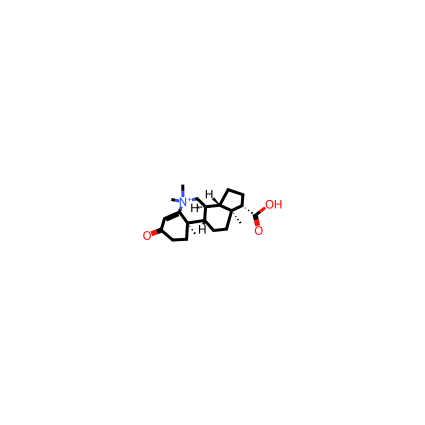 C[C@]12CC[C@H]3[C@@H](C[N+](C)(C)C4=CC(=O)CC[C@@]43C)[C@@H]1CC[C@@H]2C(=O)O